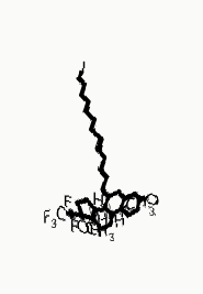 C[C@]12CCC(=O)C=C1CC(CCCCCCCCCCCCCI)[C@@H]1[C@H]2CC[C@@]2(C)[C@H]1CCC2(O)C(F)(F)C(F)(F)F